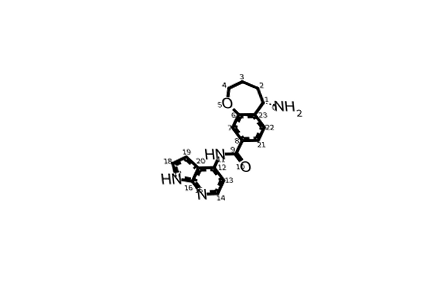 N[C@H]1CCCOc2cc(C(=O)Nc3ccnc4[nH]ccc34)ccc21